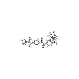 COc1ccc(C(=O)Nc2ccc(C(=O)C(=O)N3CCCC3)cc2)cc1C12CC3CC(CC(C3)C1)C2